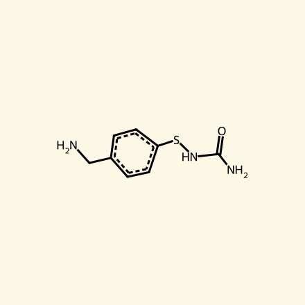 NCc1ccc(SNC(N)=O)cc1